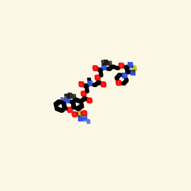 CCCCNc1cc(C(=O)OCC(=O)N(C)CC(=O)OCC(=O)N(CCCOc2nsnc2N2CCOCC2)C(C)(C)C)cc(S(N)(=O)=O)c1Oc1ccccc1